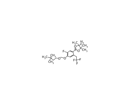 CC1(C)OB(c2cc(F)c(OCOCC[Si](C)(C)C)cc2CC(F)(F)F)OC1(C)C